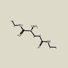 CCNC(=O)CC[C@H](N)C(=O)OCC